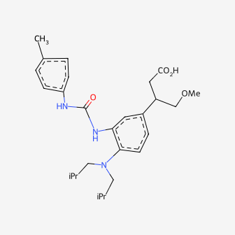 COCC(CC(=O)O)c1ccc(N(CC(C)C)CC(C)C)c(NC(=O)Nc2ccc(C)cc2)c1